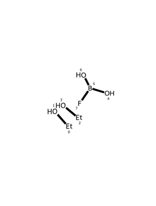 CCO.CCO.OB(O)F